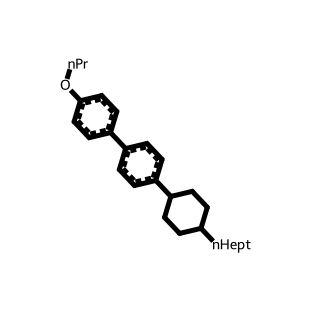 CCCCCCCC1CCC(c2ccc(-c3ccc(OCCC)cc3)cc2)CC1